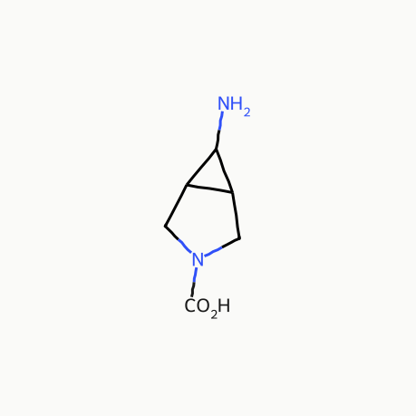 NC1C2CN(C(=O)O)CC12